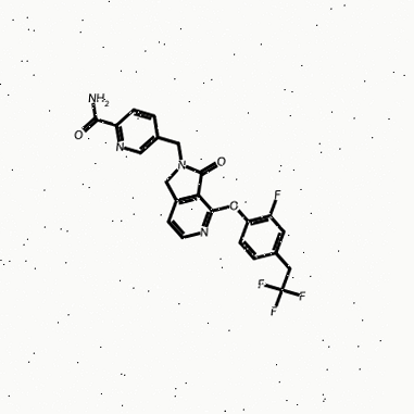 NC(=O)c1ccc(CN2Cc3ccnc(Oc4ccc(CC(F)(F)F)cc4F)c3C2=O)cn1